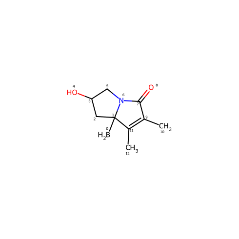 BC12CC(O)CN1C(=O)C(C)=C2C